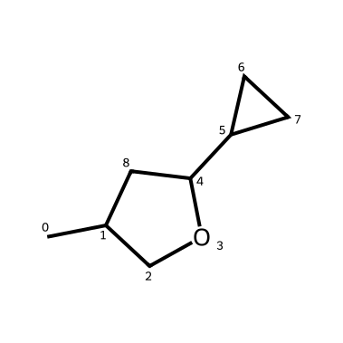 CC1COC(C2CC2)C1